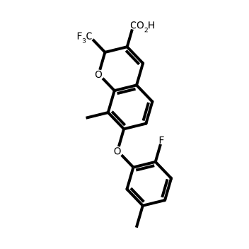 Cc1ccc(F)c(Oc2ccc3c(c2C)OC(C(F)(F)F)C(C(=O)O)=C3)c1